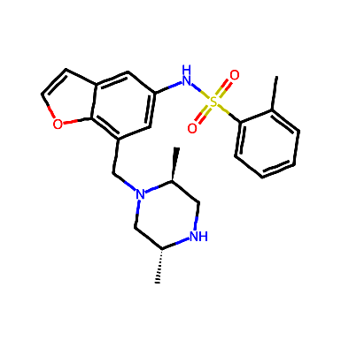 Cc1ccccc1S(=O)(=O)Nc1cc(CN2C[C@@H](C)NC[C@@H]2C)c2occc2c1